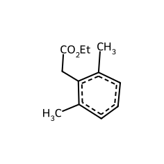 [CH2]COC(=O)Cc1c(C)cccc1C